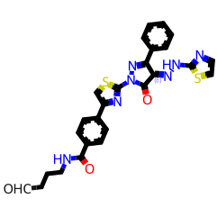 O=CCCCNC(=O)c1ccc(-c2csc(N3N=C(c4ccccc4)/C(=N\Nc4nccs4)C3=O)n2)cc1